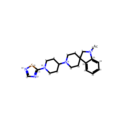 CC(=O)N1CC2(CCN(C3CCN(c4ncns4)CC3)CC2)c2ccccc21